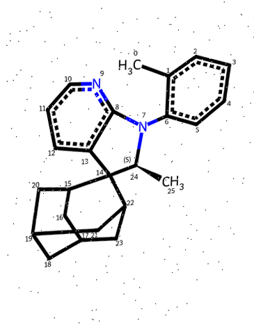 Cc1ccccc1N1c2ncccc2C2(C3CC4CC(C3)CC2C4)[C@@H]1C